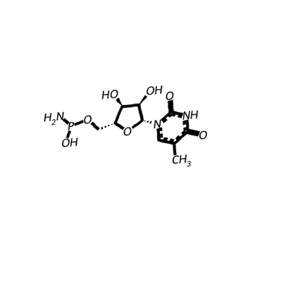 Cc1cn([C@@H]2O[C@H](COP(N)O)[C@@H](O)[C@H]2O)c(=O)[nH]c1=O